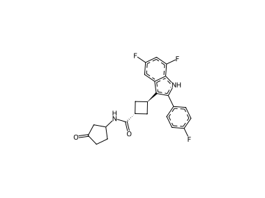 O=C1CCC(NC(=O)[C@H]2C[C@H](c3c(-c4ccc(F)cc4)[nH]c4c(F)cc(F)cc43)C2)C1